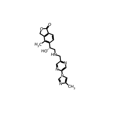 Cc1cn(-c2cnc(CNC[C@H](O)c3ccc4c(c3C)COC4=O)cn2)cn1